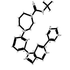 CC(C)(C)OC(=O)N1CCCN(c2cccc(-n3ncc4cnc(-c5cncnc5)cc43)n2)CC1